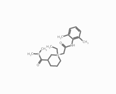 CC[N+]1(CC(=O)Nc2c(C)cccc2C)CCCC(C(=O)N(C)C)C1